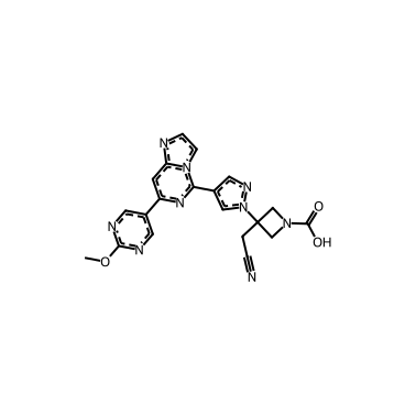 COc1ncc(-c2cc3nccn3c(-c3cnn(C4(CC#N)CN(C(=O)O)C4)c3)n2)cn1